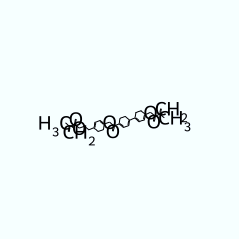 C=C(C)C(=O)OCCC1=CC=C(OC(=O)C2=CC=C(C3=CC=C(OC(=O)C(=C)C)CC3)CC2)CC1